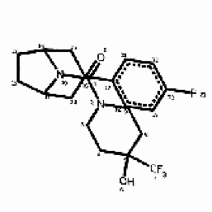 O=C(N1CCC(O)(C(F)(F)F)CC1)N1C2CCC1CC(c1ccc(F)cc1)C2